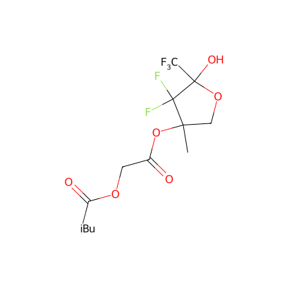 CCC(C)C(=O)OCC(=O)OC1(C)COC(O)(C(F)(F)F)C1(F)F